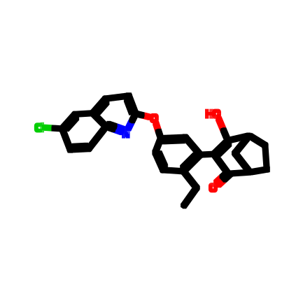 CCc1ccc(Oc2ccc3cc(Cl)ccc3n2)cc1C1=C(O)C2CCC(C2)C1=O